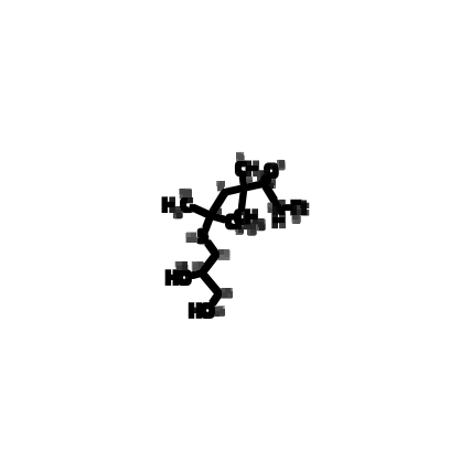 CCNC(=O)C(C)(C)CC(C)(C)SCC(O)CO